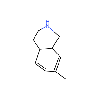 CC1=CC2CNCCC2C=C1